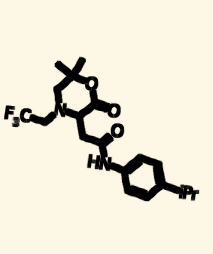 CC(C)c1ccc(NC(=O)CC2C(=O)OC(C)(C)CN2CC(F)(F)F)cc1